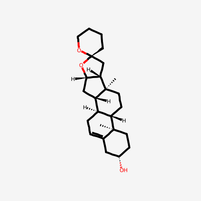 C[C@]12CC[C@H]3[C@@H](CC=C4C[C@@H](O)CC[C@@]43C)[C@@H]1C[C@@H]1O[C@@]3(CCCCO3)C[C@@H]12